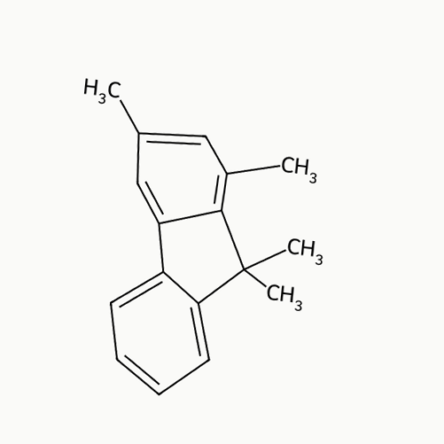 Cc1cc(C)c2c(c1)-c1ccccc1C2(C)C